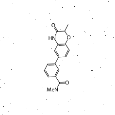 CNC(=O)c1cccc(-c2ccc3c(c2)NC(=O)C(C)O3)c1